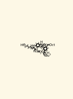 CCCCCCCCCCC(Oc1cccc(NS(=O)(=O)c2cc(C(C)(C)CC(C)(C)C)ccc2OCCCCCCCC)c1)C(=O)NCCCCO